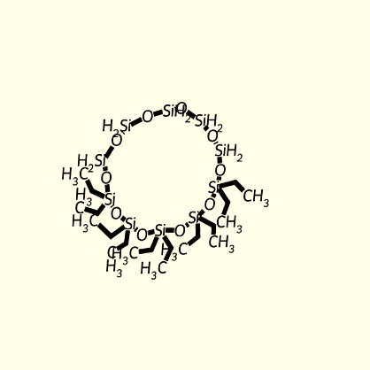 CC[Si]1(CC)O[SiH2]O[SiH2]O[SiH2]O[SiH2]O[SiH2]O[Si](CC)(CC)O[Si](CC)(CC)O[Si](CC)(CC)O[Si](CC)(CC)O1